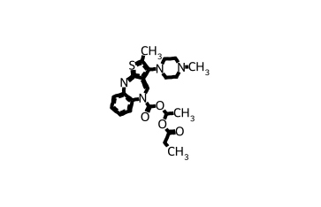 CCC(=O)OC(C)OC(=O)N1C=c2c(N3CCN(C)CC3)c(C)sc2=Nc2ccccc21